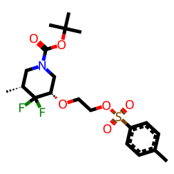 Cc1ccc(S(=O)(=O)OCCO[C@H]2CN(C(=O)OC(C)(C)C)C[C@@H](C)C2(F)F)cc1